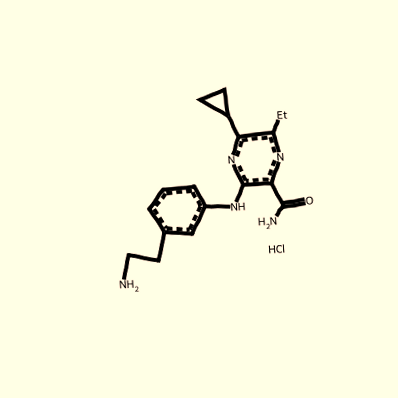 CCc1nc(C(N)=O)c(Nc2cccc(CCN)c2)nc1C1CC1.Cl